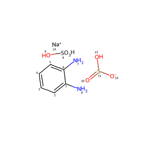 Nc1ccccc1N.O=S(=O)(O)O.O=S([O-])O.[Na+]